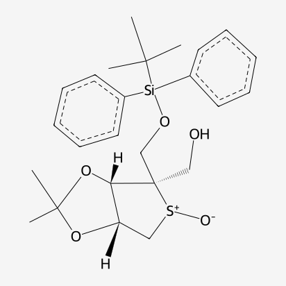 CC1(C)O[C@H]2C[S+]([O-])[C@](CO)(CO[Si](c3ccccc3)(c3ccccc3)C(C)(C)C)[C@H]2O1